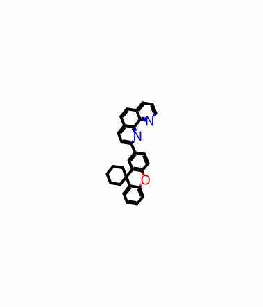 c1ccc2c(c1)Oc1ccc(-c3ccc4ccc5cccnc5c4n3)cc1C21CCCCC1